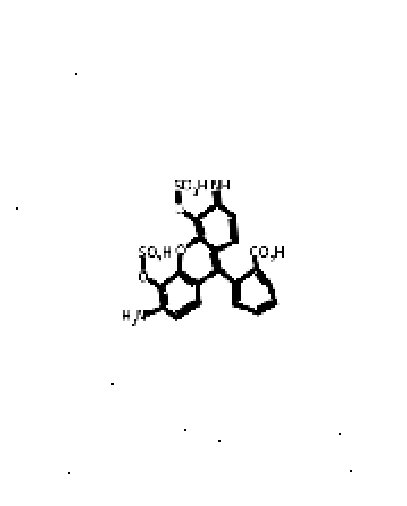 N=c1ccc2c(-c3ccccc3C(=O)O)c3ccc(N)c(OS(=O)(=O)O)c3oc-2c1OS(=O)(=O)O